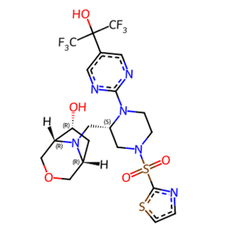 O=S(=O)(c1nccs1)N1CCN(c2ncc(C(O)(C(F)(F)F)C(F)(F)F)cn2)[C@@H](CN2[C@H]3COC[C@@H]2[C@H](O)C3)C1